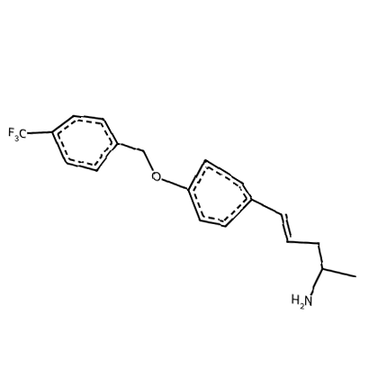 CC(N)CC=Cc1ccc(OCc2ccc(C(F)(F)F)cc2)cc1